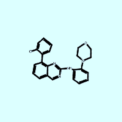 Clc1ccccc1-c1cccc2cnc(Nc3ccccc3N3CCOCC3)nc12